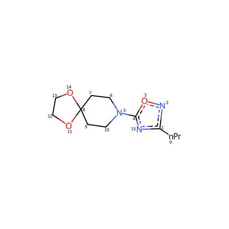 CCCc1noc(N2CCC3(CC2)OCCO3)n1